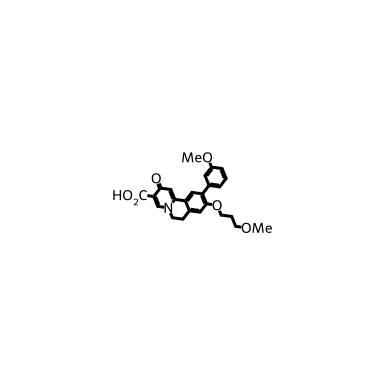 COCCCOc1cc2c(cc1-c1cccc(OC)c1)-c1cc(=O)c(C(=O)O)cn1CC2